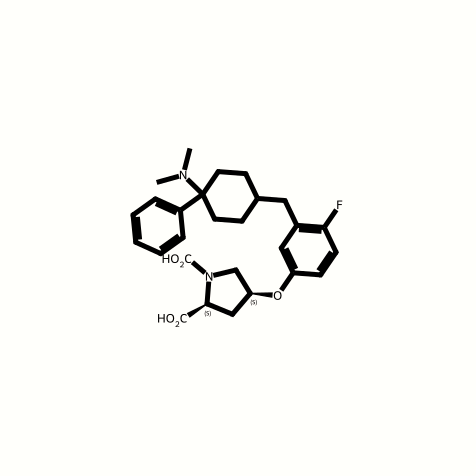 CN(C)C1(c2ccccc2)CCC(Cc2cc(O[C@H]3C[C@@H](C(=O)O)N(C(=O)O)C3)ccc2F)CC1